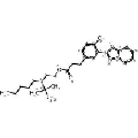 CCCCCC(CCOC(=O)CCc1ccc(O)c(-n2nc3ccccc3n2)c1)C(C)(C)C